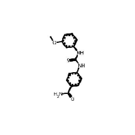 COc1cccc(NC(=S)Nc2ccc(C(N)=O)cc2)c1